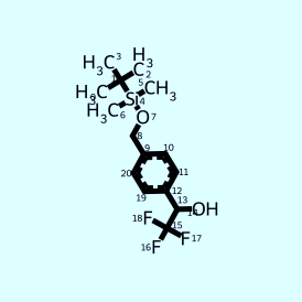 CC(C)(C)[Si](C)(C)OCc1ccc(C(O)C(F)(F)F)cc1